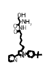 CC(C)(C)c1ccc(-n2nc(-c3ccccn3)cc2CCCCCC(=O)NC(=O)[C@@H](N)CO)cc1